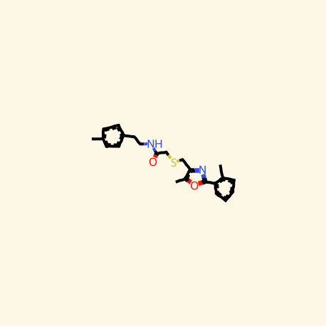 Cc1ccc(CCNC(=O)CSCc2nc(-c3ccccc3C)oc2C)cc1